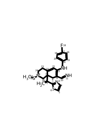 C=C(c1nccs1)C12CC(C=N)=C(Nc3ccc(F)cc3)C=C1CCN(SC)C2